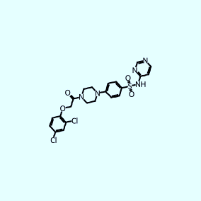 O=C(COc1ccc(Cl)cc1Cl)N1CCN(c2ccc(S(=O)(=O)Nc3ccncn3)cc2)CC1